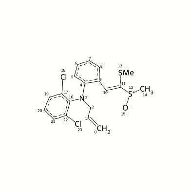 C=CCN(c1ccccc1/C=C(\SC)[S+](C)[O-])c1c(Cl)cccc1Cl